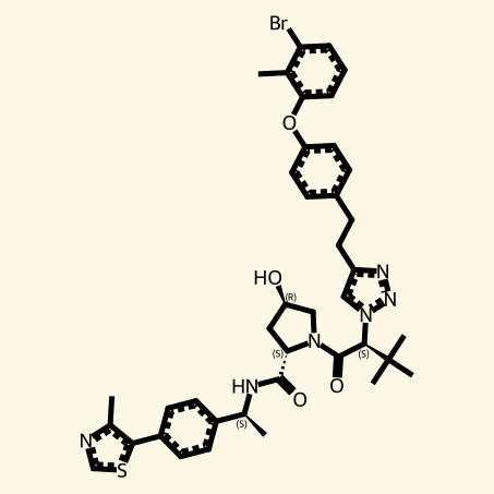 Cc1ncsc1-c1ccc([C@H](C)NC(=O)[C@@H]2C[C@@H](O)CN2C(=O)[C@@H](n2cc(CCc3ccc(Oc4cccc(Br)c4C)cc3)nn2)C(C)(C)C)cc1